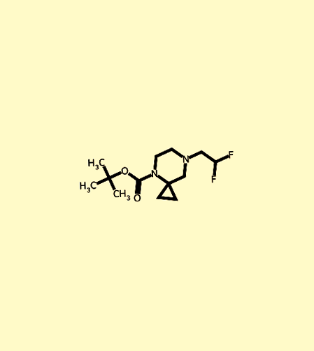 CC(C)(C)OC(=O)N1CCN(CC(F)F)CC12CC2